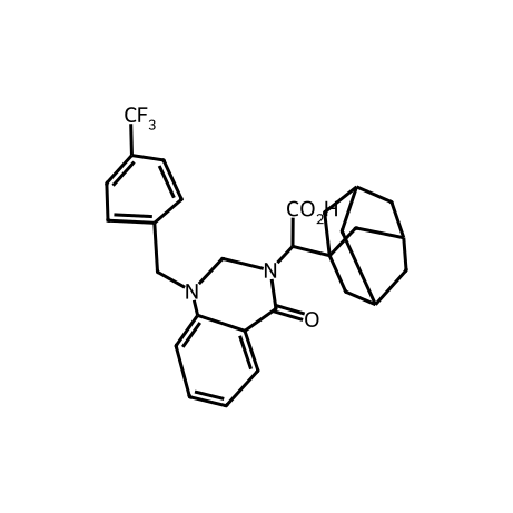 O=C(O)C(N1CN(Cc2ccc(C(F)(F)F)cc2)c2ccccc2C1=O)C12CC3CC(CC(C3)C1)C2